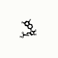 O=C(O)NCc1c[nH]c(=S)n1C1CCc2c(F)cc(F)cc2C1